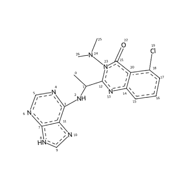 CC(Nc1ncnc2[nH]cnc12)c1nc2cccc(Cl)c2c(=O)n1N(C)C